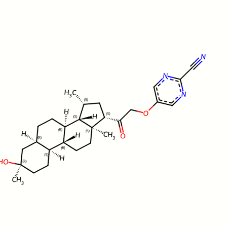 C[C@@H]1C[C@H](C(=O)COc2cnc(C#N)nc2)[C@@]2(C)CC[C@H]3[C@@H](CC[C@@H]4C[C@](C)(O)CC[C@@H]43)[C@H]12